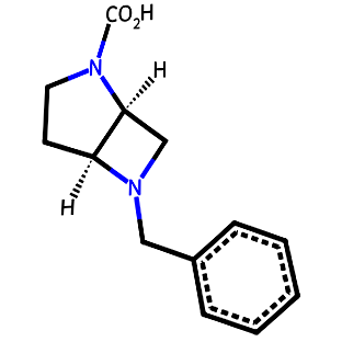 O=C(O)N1CC[C@H]2[C@@H]1CN2Cc1ccccc1